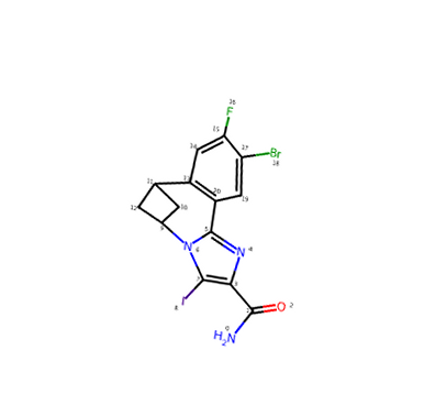 NC(=O)c1nc2n(c1I)C1CC(C1)c1cc(F)c(Br)cc1-2